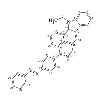 CCn1c2ccccc2c2cc(/C=N\N(c3ccccc3)c3ccc(/C=C/c4ccccc4)cc3)ccc21